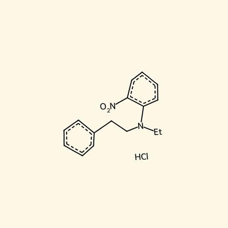 CCN(CCc1ccccc1)c1ccccc1[N+](=O)[O-].Cl